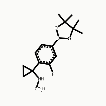 CC1(C)OB(c2ccc(C3(NC(=O)O)CC3)c(F)c2)OC1(C)C